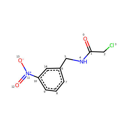 O=C(CCl)NCc1cccc([N+](=O)[O-])c1